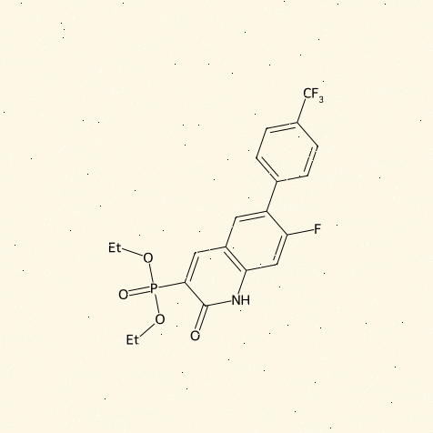 CCOP(=O)(OCC)c1cc2cc(-c3ccc(C(F)(F)F)cc3)c(F)cc2[nH]c1=O